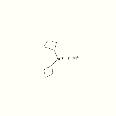 C1CC(NC2CCC2)C1.[I-].[I-].[Pt+2]